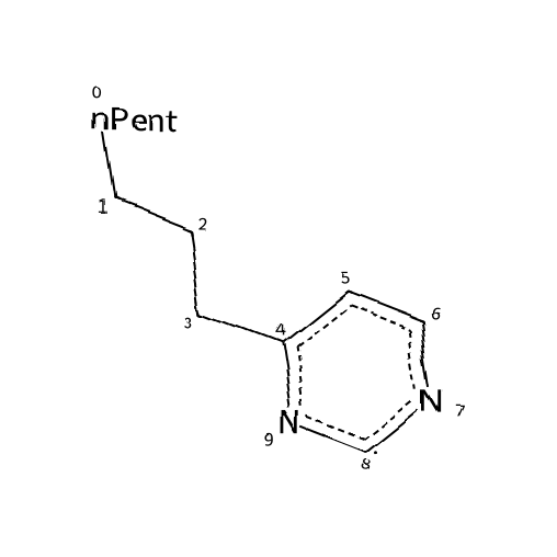 CCCCCCCCc1ccn[c]n1